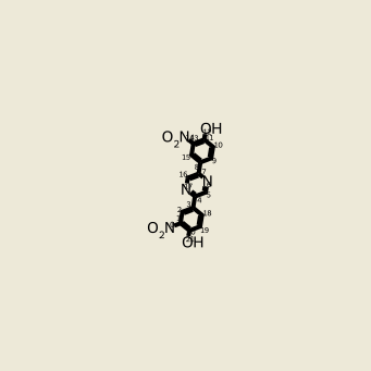 O=[N+]([O-])c1cc(-c2cnc(-c3ccc(O)c([N+](=O)[O-])c3)cn2)ccc1O